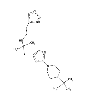 CC(C)(Cc1cnc(N2CCN(C(C)(C)C)CC2)s1)NCCc1cnc[nH]1